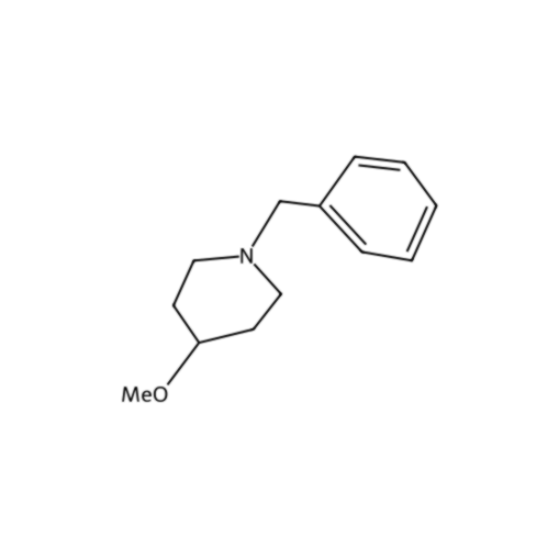 COC1CCN(Cc2ccccc2)CC1